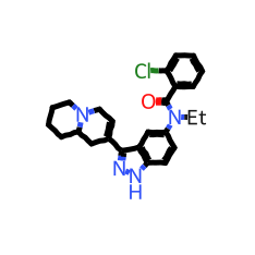 CCN(C(=O)c1ccccc1Cl)c1ccc2[nH]nc(C3=CCN4CCCCC4C3)c2c1